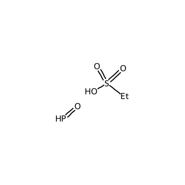 CCS(=O)(=O)O.O=P